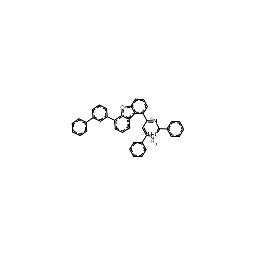 C=C(/N=C(\C=C(/C)c1ccccc1)c1cccc2oc3c(-c4cccc(-c5ccccc5)c4)cccc3c12)c1ccccc1